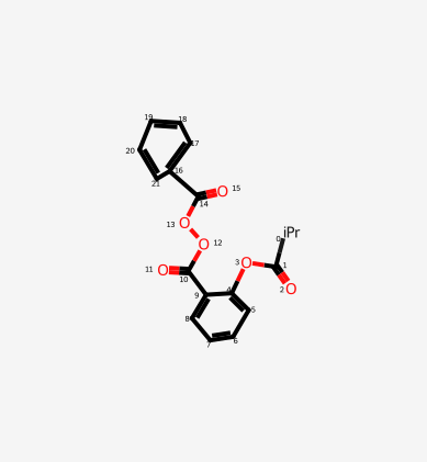 CC(C)C(=O)Oc1ccccc1C(=O)OOC(=O)c1ccccc1